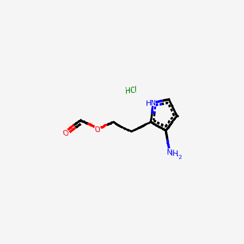 Cl.Nc1cc[nH]c1CCOC=O